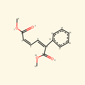 COC(=O)/C=C\C=C(/C(=O)OC)c1ccccc1